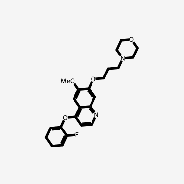 COc1cc2c(OC3=CC[CH]C=C3F)ccnc2cc1OCCCN1CCOCC1